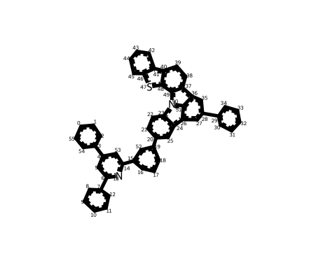 c1ccc(-c2cc(-c3ccccc3)nc(-c3cccc(-c4ccc5c(c4)c4cc(-c6ccccc6)cc6c7ccc8c9ccccc9sc8c7n5c46)c3)c2)cc1